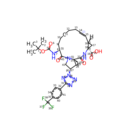 CC(C)(C)OC(=O)N[C@H]1CCCCC/C=C\[C@@H]2C[C@@]2(C(=O)O)NC(=O)[C@@H]2C[C@@H](n3nnc(-c4ccc(C(F)(F)F)cc4)n3)CN2C1=O